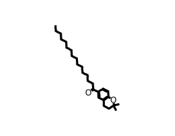 CCCCCCCCCCCCCCCC(=O)c1ccc2c(c1)CCC(C)(C)O2